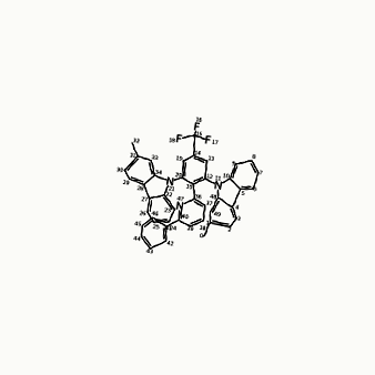 Cc1ccc2c3ccccc3n(-c3cc(C(F)(F)F)cc(-n4c5ccccc5c5ccc(C)cc54)c3-c3cccc(-c4ccccc4)n3)c2c1